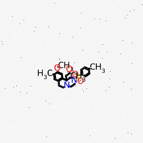 COc1cc2c(cc1C)CCN1CCN(S(=O)(=O)c3ccc(C)cc3)CC21CC(C)=O